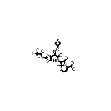 O=C(O)C1=CCS[C@@H]2C(NC(=O)/C(=N\OC3CSC3)c3csc(NC(=O)C(F)(F)F)n3)C(=O)N12